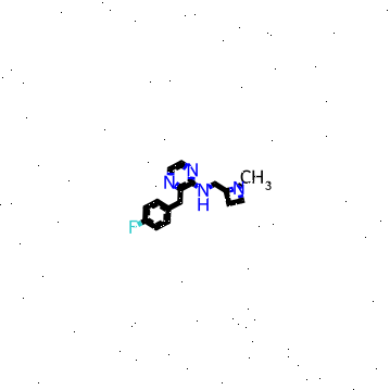 CN1CCC1CNc1nccnc1Cc1ccc(F)cc1